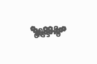 C=C(CC1=Cc2sc3c(c2C12CCCCC2)C1(CCCCC1)c1cc(N=c2c(=O)c4cc5ccccc5cc4c2=O)sc1-3)C1C(=O)c2cc3ccccc3cc2C1=O